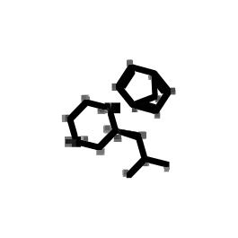 C1=CC2=CC=C1C2.CC(C)C[C@H]1CNCCN1